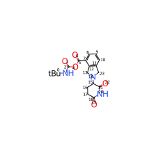 CC(C)(C)NC(=O)OC(=O)c1cccc2c1CN(C1CCC(=O)NC1=O)C2